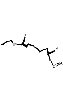 CCOC(=O)CCCCC(=O)OO